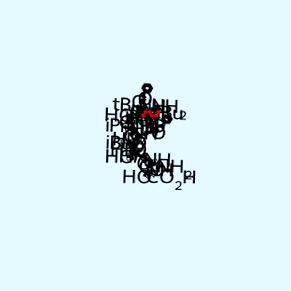 CC[C@H](C)[C@H](NC(=O)[C@@H](CCCNC(=O)OCc1ccccc1)NC(=O)[C@H](CC(C)C)NC(=O)[C@@H](NC(=O)[C@H](Cc1cccc(N)c1)NC(=O)[C@H](CC(C)(C)C)NC(=O)[C@@H](CC(C)(C)C)NC(=O)OCc1ccccc1)C(O)C(C)C)C(=O)N[C@H](C(=O)NCC(=O)N[C@@H](CC(N)=O)C(=O)N[C@@H](CO)C(=O)O)[C@H](C)O